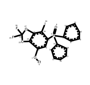 CCOc1cc(P(=O)(c2ccccc2)c2ccccc2)c(I)c2c1OC(F)(F)O2